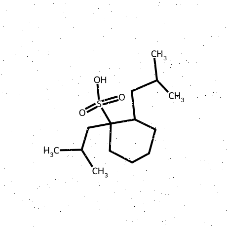 CC(C)CC1CCCCC1(CC(C)C)S(=O)(=O)O